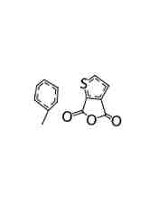 Cc1ccccc1.O=C1OC(=O)c2sccc21